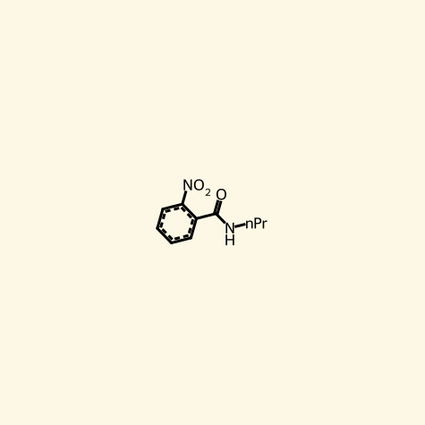 CCCNC(=O)c1ccccc1[N+](=O)[O-]